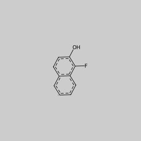 Oc1ccc2c[c]ccc2c1F